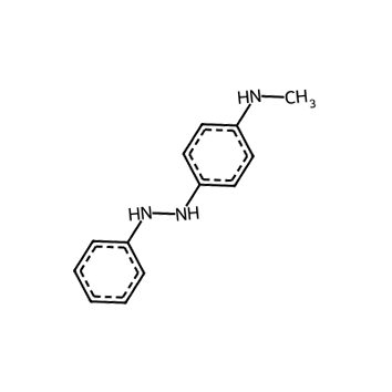 CNc1ccc(NNc2ccccc2)cc1